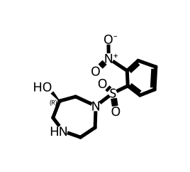 O=[N+]([O-])c1ccccc1S(=O)(=O)N1CCNC[C@@H](O)C1